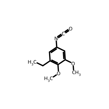 CCc1cc(N=C=O)cc(OC)c1OC